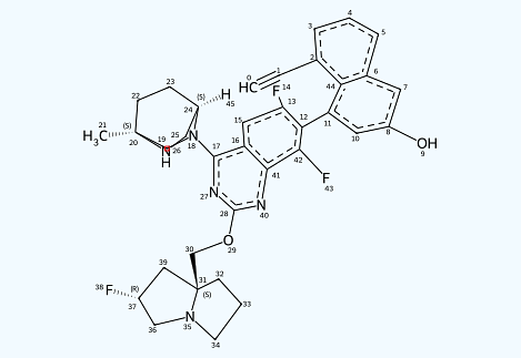 C#Cc1cccc2cc(O)cc(-c3c(F)cc4c(N5C[C@]6(C)CC[C@H]5CN6)nc(OC[C@@]56CCCN5C[C@H](F)C6)nc4c3F)c12